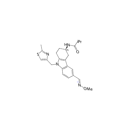 CO/N=C/c1ccc2c(c1)c1c(n2Cc2csc(C)n2)CC[C@@H](NC(=O)C(C)C)C1